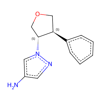 Nc1cnn([C@@H]2COC[C@H]2c2ccccc2)c1